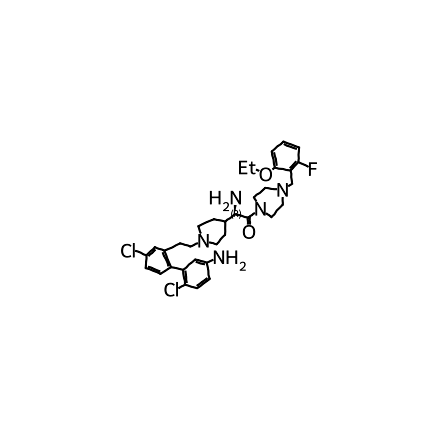 CCOc1cccc(F)c1CN1CCN(C(=O)[C@H](N)C2CCN(CCc3cc(Cl)ccc3-c3cc(N)ccc3Cl)CC2)CC1